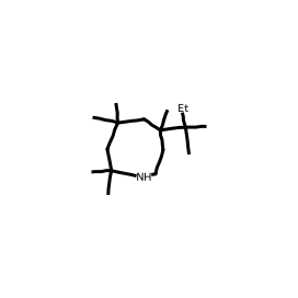 CCC(C)(C)C1(C)CCNC(C)(C)CC(C)(C)C1